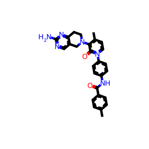 Cc1ccc(C(=O)Nc2ccc(-n3ccc(C)c(N4CCc5nc(N)ncc5C4)c3=O)cc2)cc1